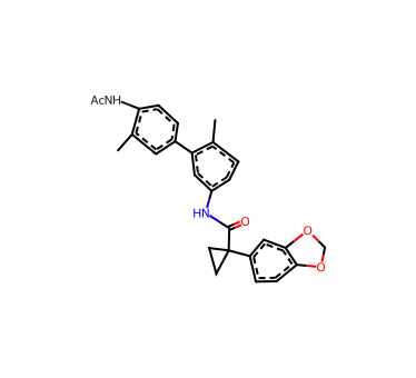 CC(=O)Nc1ccc(-c2cc(NC(=O)C3(c4ccc5c(c4)OCO5)CC3)ccc2C)cc1C